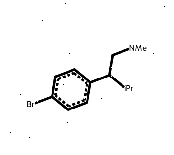 CNCC(c1ccc(Br)cc1)C(C)C